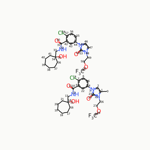 Cc1cn(-c2ccc(Cl)c(C(=O)NCC3(O)CCCCCC3)c2)c(=O)n1CCOC(F)(F)F.O=C(NCC1(O)CCCCCC1)c1cc(-n2ccn(CCOC(F)(F)F)c2=O)ccc1Cl